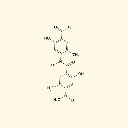 CCC(=O)c1cc(C)c(N(CC)C(=O)c2cc(C)c(N(C)CC)cc2O)cc1O